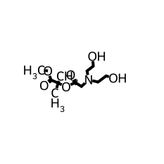 COC(=O)C(C)(C)OC(=O)CN(CCO)CCO